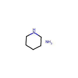 C1CCNCC1.N